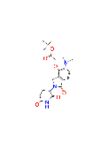 CN(C)c1ccc2c(c1OCC(=O)OC(C)(C)C)CN(C1CCC(=O)NC1=O)C2=O